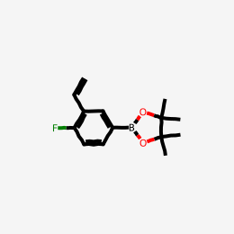 C=Cc1cc(B2OC(C)(C)C(C)(C)O2)ccc1F